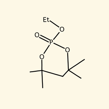 CCOP1(=O)OC(C)(C)CC(C)(C)O1